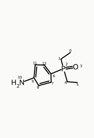 CCP(=O)(CC)c1ccc(N)cc1